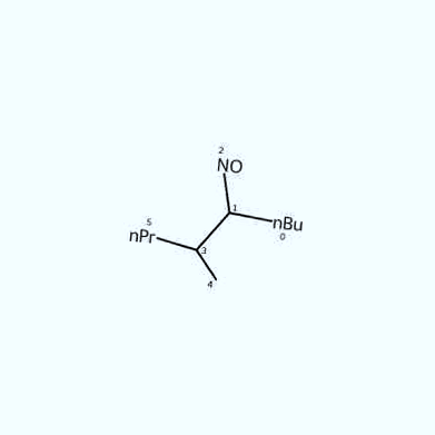 CCCCC(N=O)C(C)CCC